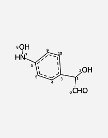 O=CC(O)c1ccc(NO)cc1